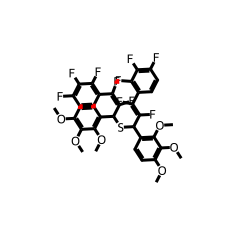 COc1ccc(C(SC(/C(F)=C(/F)c2ccc(F)c(F)c2F)c2ccc(OC)c(OC)c2OC)C(F)=C(F)c2ccc(F)c(F)c2F)c(OC)c1OC